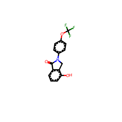 O=C1c2cccc(O)c2CN1c1ccc(OC(F)(F)F)cc1